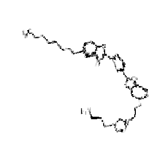 CCCCCCCCc1ccc2oc(-c3ccc(-c4nc5cc(CCCN6C=CN(CCCN)C6)ccc5o4)s3)nc2c1